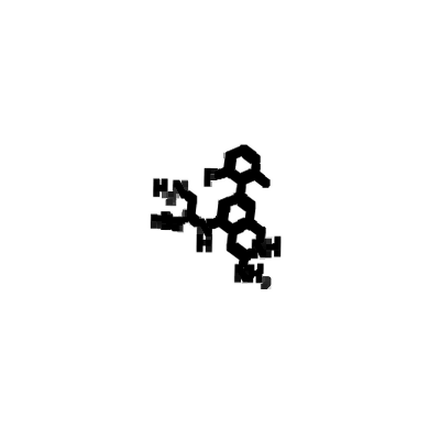 CCCC[C@H](CN)Nc1cc(-c2c(C)cccc2F)cc2c1C=C(N)NC2